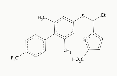 CCC(Sc1cc(C)c(-c2ccc(C(F)(F)F)cc2)c(C)c1)c1ccc(C(=O)O)s1